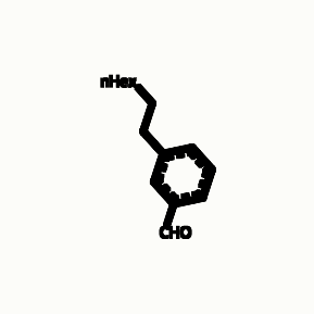 CCCCCCCCc1cccc(C=O)c1